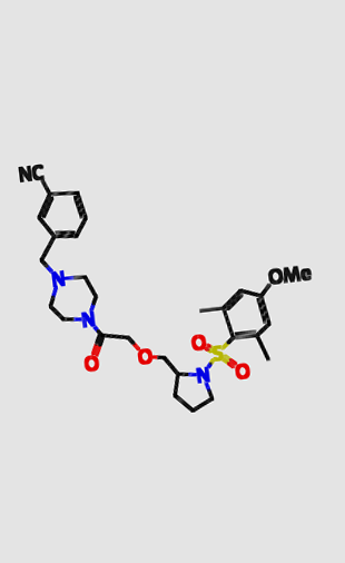 COc1cc(C)c(S(=O)(=O)N2CCCC2COCC(=O)N2CCN(Cc3cccc(C#N)c3)CC2)c(C)c1